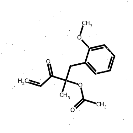 C=CC(=O)C(C)(Cc1ccccc1OC)OC(C)=O